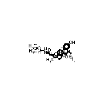 CC[C@@H]1C2C[C@H](O)CC[C@]2(C)[C@H]2CC[C@]3(C)[C@@H]([C@H](C)CCC(=O)NCC(=O)OC(C)C)CC[C@H]3[C@@H]2[C@@H]1O